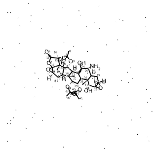 CC(=O)O[C@H]1[C@@H]2[C@H]([C@H](C)[C@H]3O[C@]34OC(=O)[C@@](C)(O)[C@]24C)[C@]2(C)[C@@H]1C1=C(O)[C@H](N)[C@H]3C[C@@H]4O[C@@H]4[C@H](O)[C@]3(C)C1[C@H](OC(C)=O)[C@@H]2OC(C)=O